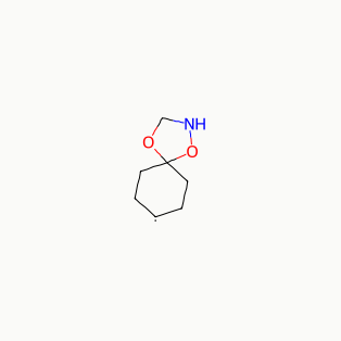 [CH]1CCC2(CC1)OCNO2